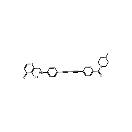 CN1CCN(C(=O)c2ccc(C#CC#Cc3ccc(NCc4occc(=O)c4O)cc3)cc2)CC1